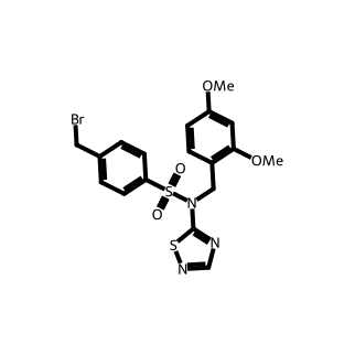 COc1ccc(CN(c2ncns2)S(=O)(=O)c2ccc(CBr)cc2)c(OC)c1